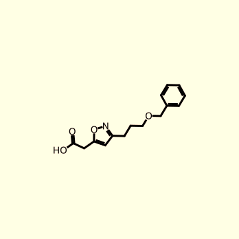 O=C(O)Cc1cc(CCCOCc2ccccc2)no1